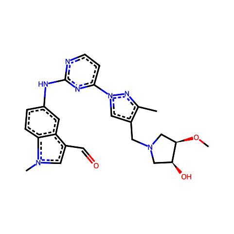 CO[C@@H]1CN(Cc2cn(-c3ccnc(Nc4ccc5c(c4)c(C=O)cn5C)n3)nc2C)C[C@@H]1O